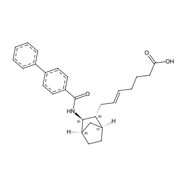 O=C(O)CCCC=CC[C@@H]1[C@H]2CC[C@H](C2)[C@H]1NC(=O)c1ccc(-c2ccccc2)cc1